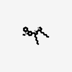 CCCCCCc1cc(-c2sccc2CCCCCC)sc1-c1ccc2c(c1)c1ccccc1n2CC